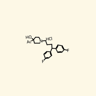 CC(=O)C1(O)CCN(CCCC(c2ccc(F)cc2)c2ccc(F)cc2)CC1.Cl